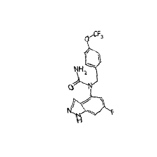 NC(=O)N(Cc1ccc(OC(F)(F)F)cc1)c1cc(F)cc2[nH]ncc12